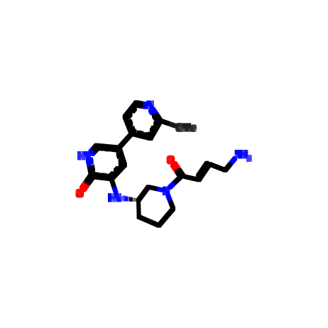 COc1cc(-c2c[nH]c(=O)c(N[C@H]3CCCN(C(=O)/C=C/CN)C3)c2)ccn1